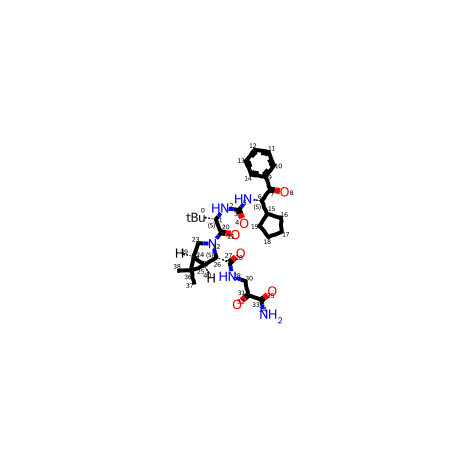 CC(C)(C)[C@H](NC(=O)N[C@H](C(=O)c1ccccc1)C1CCCC1)C(=O)N1C[C@H]2[C@@H]([C@H]1C(=O)NCC(=O)C(N)=O)C2(C)C